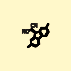 Cc1ccc2c(c1)C(=C(C#N)C#N)c1cc(C)ccc1-2